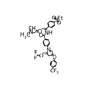 CCS(=O)(=O)c1ccc([C@H](COCCN(C)C)NC(=O)c2ccc(N3C[C@@H](Oc4ccc(C(F)(F)F)cc4)C[C@H]3COC(F)F)cc2)cc1